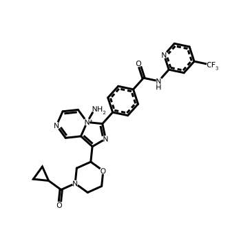 N[N+]12C=CN=CC1=C(C1CN(C(=O)C3CC3)CCO1)N=C2c1ccc(C(=O)Nc2cc(C(F)(F)F)ccn2)cc1